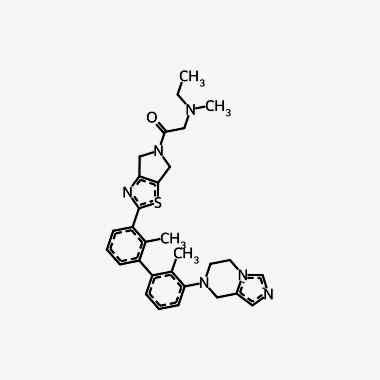 CCN(C)CC(=O)N1Cc2nc(-c3cccc(-c4cccc(N5CCn6cncc6C5)c4C)c3C)sc2C1